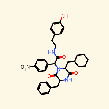 O=C1NC(Cc2ccccc2)C(=O)N(C(C(=O)NCCc2ccc(O)cc2)c2ccc([N+](=O)[O-])cc2)C1CC1CCCCC1